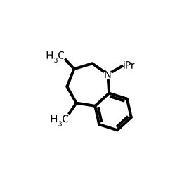 CC1CC(C)c2ccccc2N(C(C)C)C1